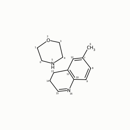 C1COCCN1.Cc1ccc2c(c1)CCC=N2